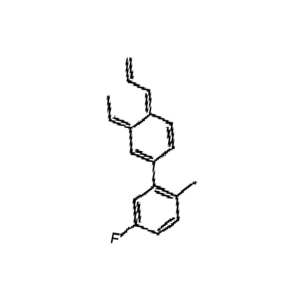 C=C/C=c1/ccc(-c2cc(F)ccc2C)c/c1=C/C